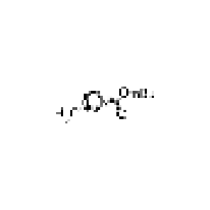 CCCCOC(=O)[n+]1ccn(C)c1